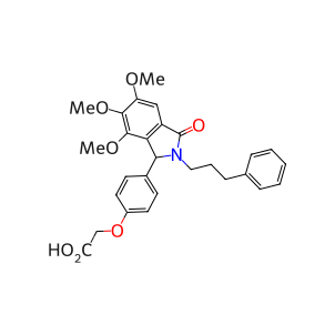 COc1cc2c(c(OC)c1OC)C(c1ccc(OCC(=O)O)cc1)N(CCCc1ccccc1)C2=O